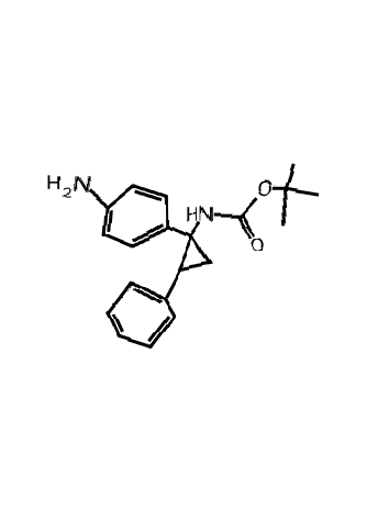 CC(C)(C)OC(=O)NC1(c2ccc(N)cc2)CC1c1ccccc1